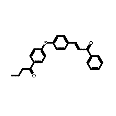 CCCC(=O)c1ccc(Sc2ccc(C=CC(=O)c3ccccc3)cc2)cc1